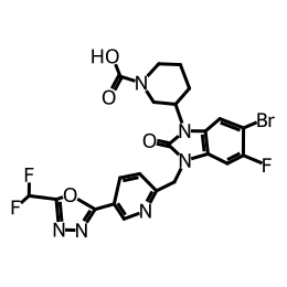 O=C(O)N1CCCC(n2c(=O)n(Cc3ccc(-c4nnc(C(F)F)o4)cn3)c3cc(F)c(Br)cc32)C1